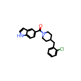 O=C(c1ccc2[nH]ccc2c1)N1CCC(Cc2ccccc2Cl)CC1